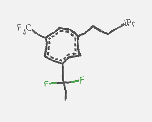 CC(C)CCc1cc(C(C)(F)F)cc(C(F)(F)F)c1